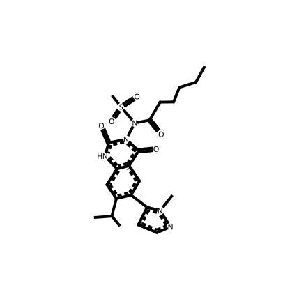 CCCCCC(=O)N(n1c(=O)[nH]c2cc(C(C)C)c(-c3ccnn3C)cc2c1=O)S(C)(=O)=O